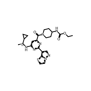 CCOC(=O)NC1CCN(C(=O)c2cc(N[C@@H](C)C3CC3)nc(-c3cnn4ccsc34)n2)CC1